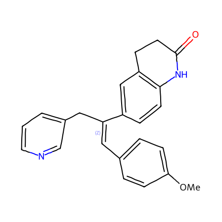 COc1ccc(/C=C(/Cc2cccnc2)c2ccc3c(c2)CCC(=O)N3)cc1